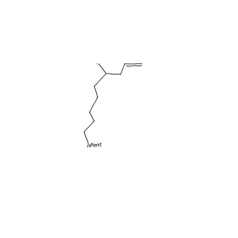 [CH2]CCCCCCCCCC([CH2])CC=C